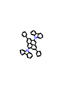 c1ccc(-c2cc3cc(-n4c5ccccc5c5ccccc54)c4cc(-c5ccccc5)cc5cc(-n6c7ccccc7c7ccccc76)c(c2)c3c54)cc1